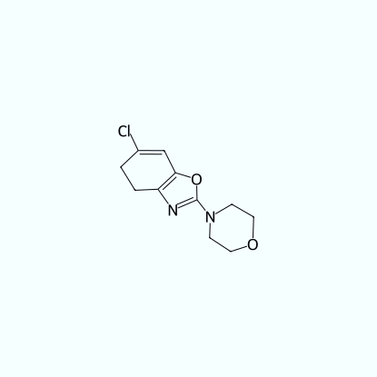 ClC1=Cc2oc(N3CCOCC3)nc2CC1